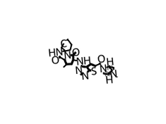 Cc1cc(Nc2ncnc3sc(C(=O)N4C[C@H]5C[C@@H]4CN5C)cc23)c(=O)n2c1C(=O)NC21CCCCC1